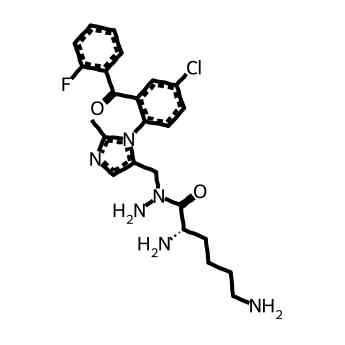 Cc1ncc(CN(N)C(=O)[C@@H](N)CCCCN)n1-c1ccc(Cl)cc1C(=O)c1ccccc1F